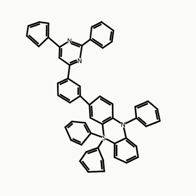 c1ccc(-c2cc(-c3cccc(-c4ccc5c(c4)S(c4ccccc4)(c4ccccc4)c4ccccc4N5c4ccccc4)c3)nc(-c3ccccc3)n2)cc1